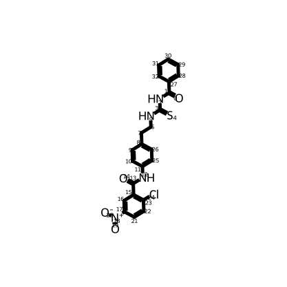 O=C(NC(=S)NCCc1ccc(NC(=O)c2cc([N+](=O)[O-])ccc2Cl)cc1)c1ccccc1